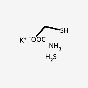 N.O=C([O-])CS.S.[K+]